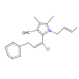 C/C=C/Cn1c(C)c(C)c(C=O)c1/C(Cl)=C\Cc1ccccc1